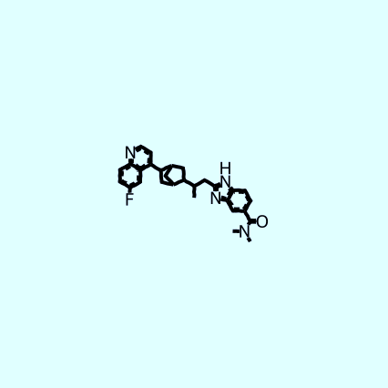 CC(Cc1nc2cc(C(=O)N(C)C)ccc2[nH]1)C1CC2CC1CC2c1ccnc2ccc(F)cc12